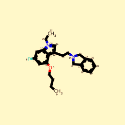 CCCCOc1cc(F)cc2c1c(CCN1Cc3ccccc3C1)cn2CC